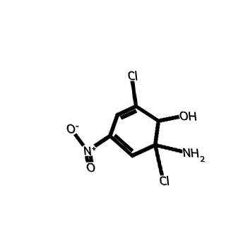 NC1(Cl)C=C([N+](=O)[O-])C=C(Cl)C1O